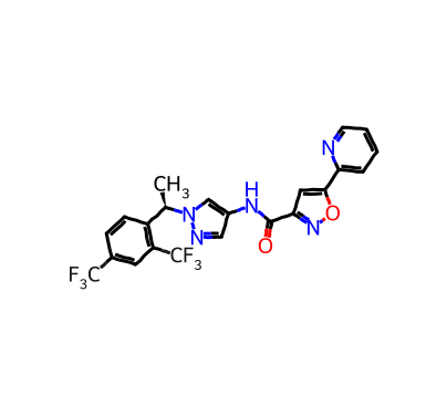 C[C@H](c1ccc(C(F)(F)F)cc1C(F)(F)F)n1cc(NC(=O)c2cc(-c3ccccn3)on2)cn1